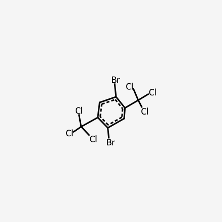 ClC(Cl)(Cl)c1cc(Br)c(C(Cl)(Cl)Cl)cc1Br